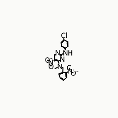 CN(Cc1ccccc1[N+](=O)[O-])c1nc(Nc2ccc(Cl)cc2)ncc1[N+](=O)[O-]